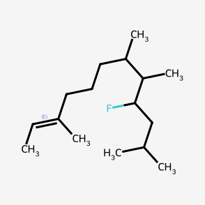 C/C=C(\C)CCCC(C)C(C)C(F)CC(C)C